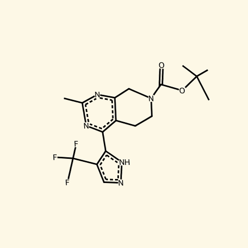 Cc1nc2c(c(-c3[nH]ncc3C(F)(F)F)n1)CCN(C(=O)OC(C)(C)C)C2